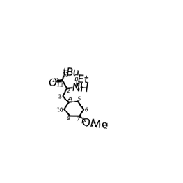 CCNC(CC1CCC(OC)CC1)C(=O)C(C)(C)C